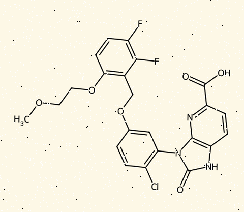 COCCOc1ccc(F)c(F)c1COc1ccc(Cl)c(-n2c(=O)[nH]c3ccc(C(=O)O)nc32)c1